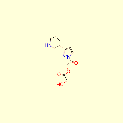 O=C(CO)OCC(=O)n1ccc(C2CCCNC2)n1